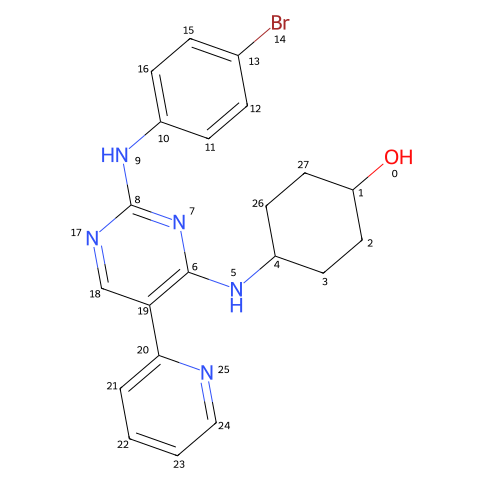 OC1CCC(Nc2nc(Nc3ccc(Br)cc3)ncc2-c2ccccn2)CC1